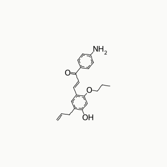 C=CCc1cc(C=CC(=O)c2ccc(N)cc2)c(OCCC)cc1O